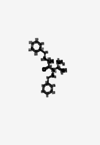 N=C(N)N(SCc1ccccc1)C(=O)NSCc1ccccc1